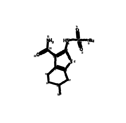 CCCCS(=O)(=O)Nc1sc2c(c1C(N)=O)CCC(C)C2